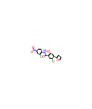 O=C(Nc1ccc([N+](=O)[O-])cc1Cl)c1cc(Cl)c(-c2ccco2)cc1O